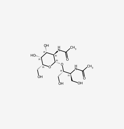 CC(=O)N[C@H]1[C@H](O[C@@H](CO)[C@H](CO)NC(C)=O)O[C@H](CO)[C@H](O)[C@@H]1O